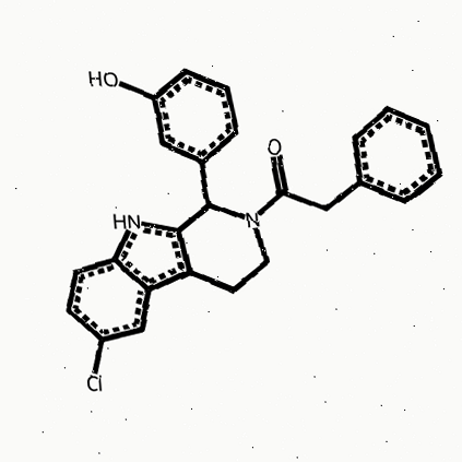 O=C(Cc1ccccc1)N1CCc2c([nH]c3ccc(Cl)cc23)C1c1cccc(O)c1